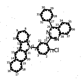 Clc1ccc(-n2c3ccccc3c3cc4ccccc4cc32)cc1-c1nc(-c2ccccc2)c2ccccc2n1